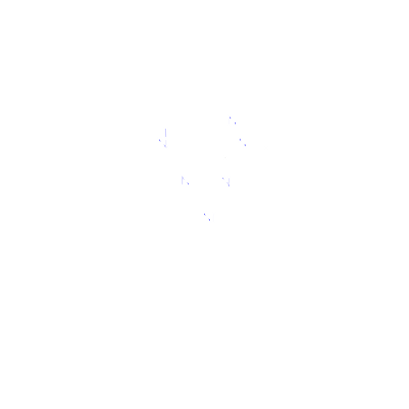 c1ccc(Nc2nc(NC3CCCCC3)c3cnn(-c4ccccc4)c3n2)cc1